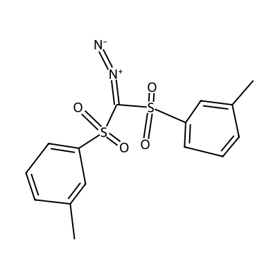 Cc1cccc(S(=O)(=O)C(=[N+]=[N-])S(=O)(=O)c2cccc(C)c2)c1